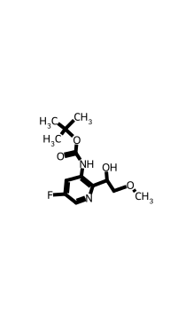 COCC(O)c1ncc(F)cc1NC(=O)OC(C)(C)C